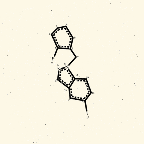 Fc1ccccc1Cn1ncc2cc(I)ccc21